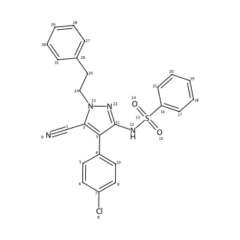 N#Cc1c(-c2ccc(Cl)cc2)c(NS(=O)(=O)c2ccccc2)nn1CCc1ccccc1